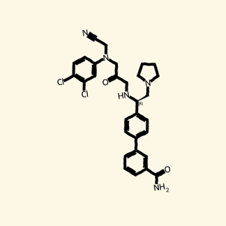 N#CCN(CC(=O)CN[C@@H](CN1CCCC1)c1ccc(-c2cccc(C(N)=O)c2)cc1)c1ccc(Cl)c(Cl)c1